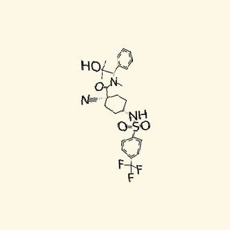 CN(C(=O)[C@]1(C#N)CC[C@@H](NS(=O)(=O)c2ccc(C(F)(F)F)cc2)CC1)[C@@H](c1ccccc1)C(C)(C)O